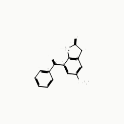 COc1cc2c(c(C(=O)c3ccccc3)c1)NC(=O)C2